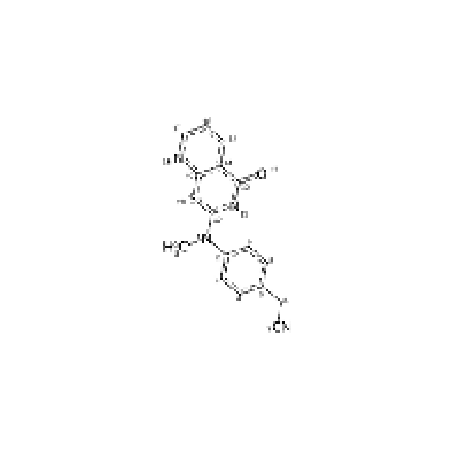 CN(c1ccc(CC#N)cc1)c1nc(=O)c2cccnc2s1